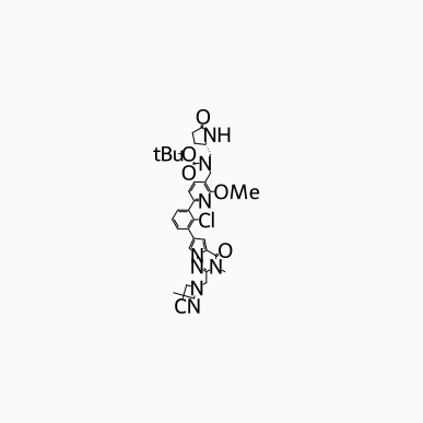 COc1nc(-c2cccc(-c3cc4c(=O)n(C)c(CN5CC(C)(C#N)C5)nn4c3)c2Cl)ccc1CN(C[C@@H]1CCC(=O)N1)C(=O)OC(C)(C)C